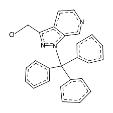 ClCc1nn(C(c2ccccc2)(c2ccccc2)c2ccccc2)c2cnccc12